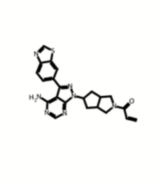 C=CC(=O)N1CC2CC(n3nc(-c4ccc5ncsc5c4)c4c(N)ncnc43)CC2C1